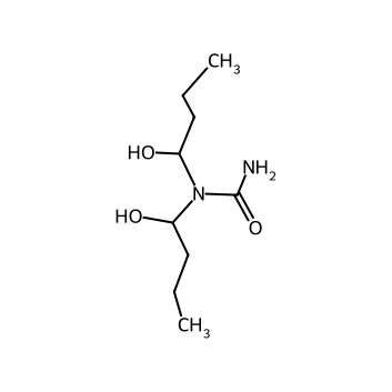 CCCC(O)N(C(N)=O)C(O)CCC